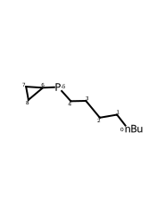 CCCCCCCC[P]C1CC1